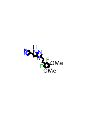 COc1cc(OC)c(F)c(CCc2cnc3[nH]c(-c4cnn(C)c4)cc3n2)c1F